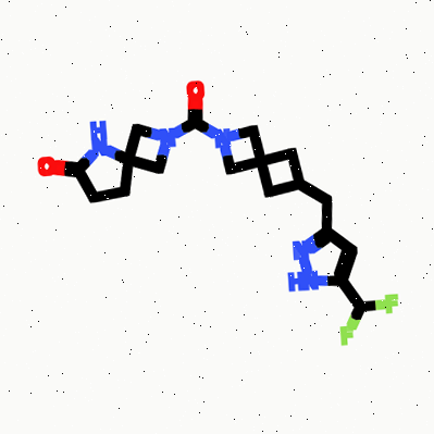 O=C1CCC2(CN(C(=O)N3CC4(CC(Cc5cc(C(F)F)[nH]n5)C4)C3)C2)N1